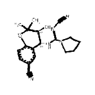 CC1(C)Oc2ccc(C#N)cc2[C@@H](NC(=NC#N)N2CCCC2)[C@@H]1O